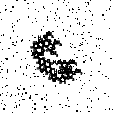 COC(=O)N[C@H](C(=O)N1[C@@H](C)CC[C@H]1c1ncc(-c2cc3c4c(c2)OCc2cc(-c5cnc([C@@H]6CC[C@H](C)N6C(=O)[C@@H](NC(=O)OC)[C@H]6C[C@@H](C)O[C@@H](C)C6)[nH]5)cc(c2-4)OC3)[nH]1)C1C[C@@H](C)O[C@@H](C)C1